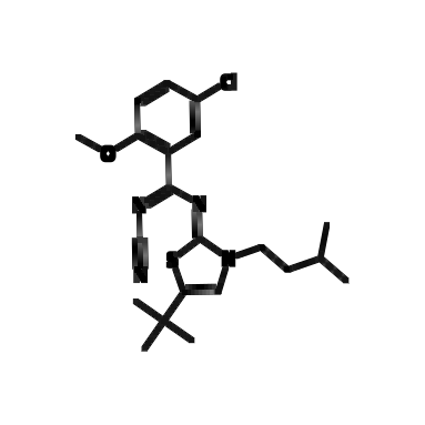 COc1ccc(Cl)cc1C(=NC#N)N=c1sc(C(C)(C)C)cn1CCC(C)C